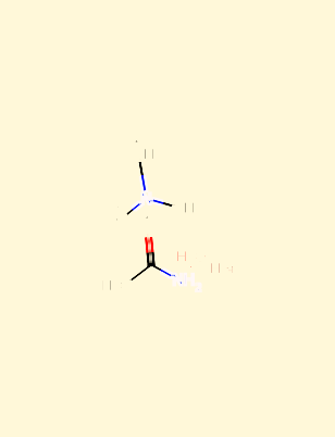 Br.CC(N)=O.CN(C)C.O